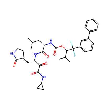 CC(C)C[C@H](NC(=O)OC(C(C)C)C(F)(F)c1cccc(-c2ccccc2)c1)C(=O)N[C@@H](C[C@@H]1CCNC1=O)C(=O)C(=O)NC1CC1